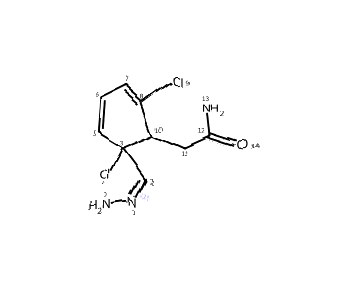 N/N=C\C1(Cl)C=CC=C(Cl)C1CC(N)=O